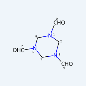 O=CN1CN(C=O)CN(C=O)C1